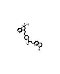 O=C(O)CC(CCC1CCN(C(=O)CCc2ccc3c(n2)NCCC3)CC1)c1cccnc1